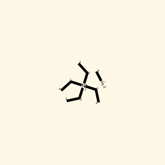 CC[N+](CC)(CC)CC.C[S-]